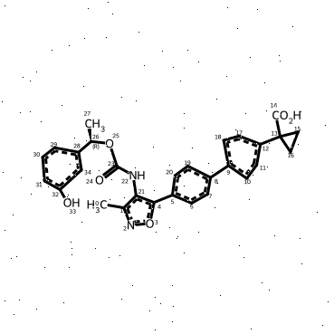 Cc1noc(-c2ccc(-c3ccc(C4(C(=O)O)CC4)cc3)cc2)c1NC(=O)O[C@H](C)c1cccc(O)c1